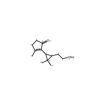 COCCC1C(C2=C(C)CCC2=O)C1(C)C